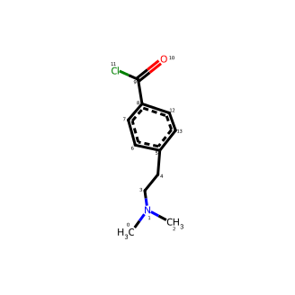 CN(C)CCc1ccc(C(=O)Cl)cc1